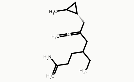 C=C=C(CC(CC)CCC(=C)N)C[C@H]1CC1C